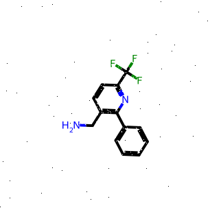 NCc1ccc(C(F)(F)F)nc1-c1ccccc1